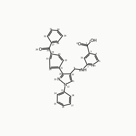 O=C(O)c1ccnc(NCc2cn(-c3ccccc3)nc2-c2ccc(C(=O)c3ccccc3)cc2)c1